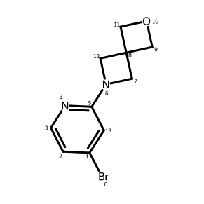 Brc1ccnc(N2CC3(COC3)C2)c1